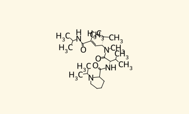 C/C(=C\[C@H](C(C)C)N(C)C(=O)[C@@H](NC(=O)C1CCCCN1C(C)C)C(C)C)C(=O)NC(C)C